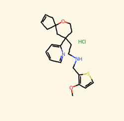 COc1ccsc1CNCCC1(c2ccccn2)CCOC2(CC=CC2)C1.Cl